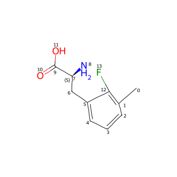 Cc1cccc(C[C@H](N)C(=O)O)c1F